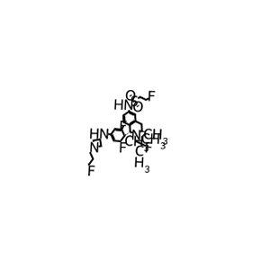 C[C@@H]1Cc2cc(NS(=O)(=O)CCF)ccc2[C@@H](C2(C)C(F)=CC(NC3CN(CCCF)C3)=CC2F)N1CC(C)(C)F